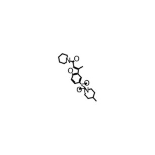 Cc1c(C(=O)N2CCCCC2)oc2ccc(S(=O)(=O)N3CCC(C)CC3)cc12